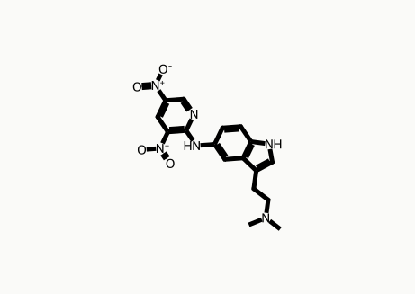 CN(C)CCc1c[nH]c2ccc(Nc3ncc([N+](=O)[O-])cc3[N+](=O)[O-])cc12